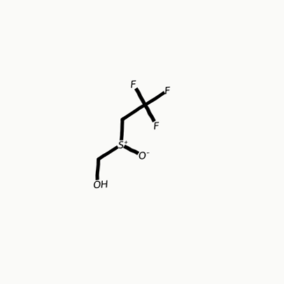 [O-][S+](CO)CC(F)(F)F